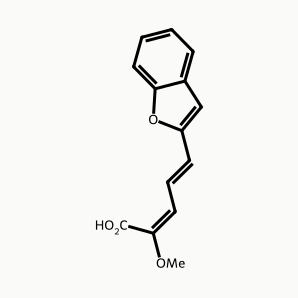 COC(=CC=Cc1cc2ccccc2o1)C(=O)O